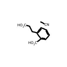 CC#N.O=C(O)CCc1ccccc1C(=O)O